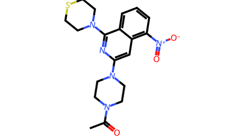 CC(=O)N1CCN(c2cc3c([N+](=O)[O-])cccc3c(N3CCSCC3)n2)CC1